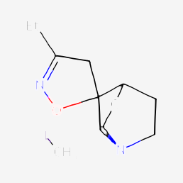 CCC1=NOC2(C1)CN1CCC2CC1.CI